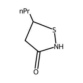 CCCC1CC(=O)NS1